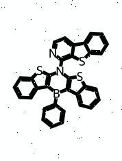 c1ccc(B2c3c(sc4ccccc34)N(c3nccc4c3sc3ccccc34)c3sc4ccccc4c32)cc1